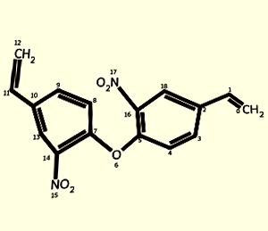 C=Cc1ccc(Oc2ccc(C=C)cc2[N+](=O)[O-])c([N+](=O)[O-])c1